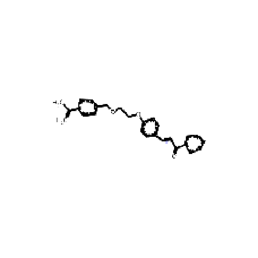 C=C(C)c1ccc(COCCOc2ccc(/C=C/C(=O)c3ccccc3)cc2)cc1